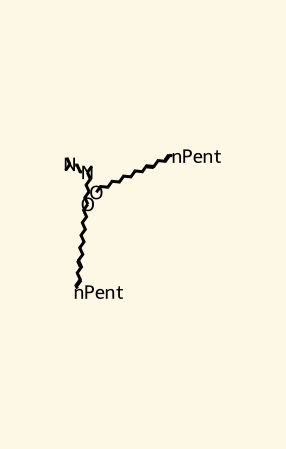 CCCCCC=CCC=CCCCCCCCCOCC(CCN(C)CCN(C)C)OCCCCCCCCC=CCC=CCCCCC